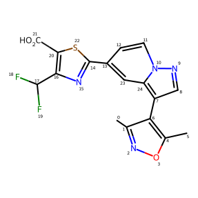 Cc1noc(C)c1-c1cnn2ccc(-c3nc(C(F)F)c(C(=O)O)s3)cc12